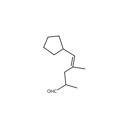 CC(=CC1CCCC1)CC(C)C=O